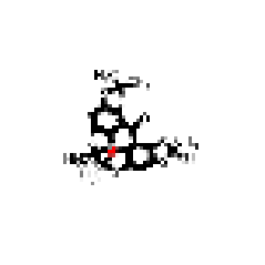 CC1(C)Sc2cc3c(c(C(=O)c4c5c(cc6c4SC(C)(C)S6)SC(C)(C)S5)c2S1)SC(C)(C)S3